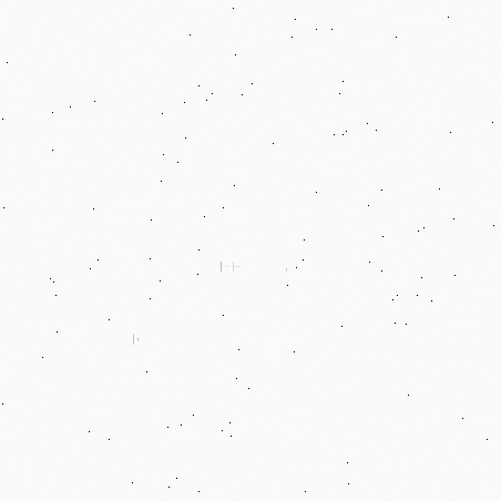 OCOBOc1ccccc1